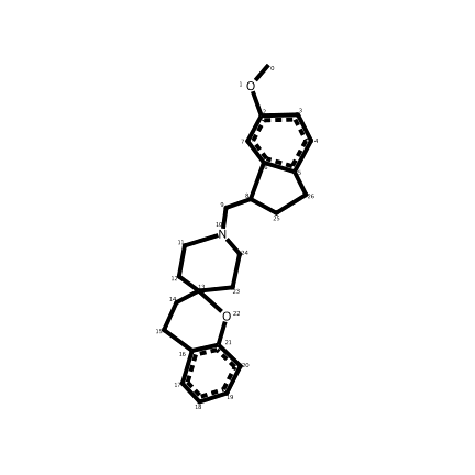 COc1ccc2c(c1)C(CN1CCC3(CCc4ccccc4O3)CC1)CC2